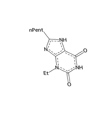 CCCCCc1nc2c([nH]1)c(=O)[nH]c(=O)n2CC